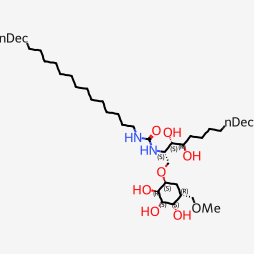 CCCCCCCCCCCCCCCCCCCCCCCCNC(=O)N[C@@H](CO[C@H]1C[C@H](COC)[C@H](O)[C@H](O)[C@H]1O)[C@H](O)[C@H](O)CCCCCCCCCCCCCC